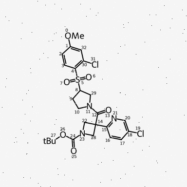 COc1ccc(S(=O)(=O)C2CCN(C(=O)C3(c4ccc(Cl)cn4)CN(C(=O)OC(C)(C)C)C3)C2)c(Cl)c1